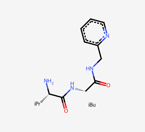 CC[C@H](C)[C@H](NC(=O)[C@@H](N)C(C)C)C(=O)NCc1ccccn1